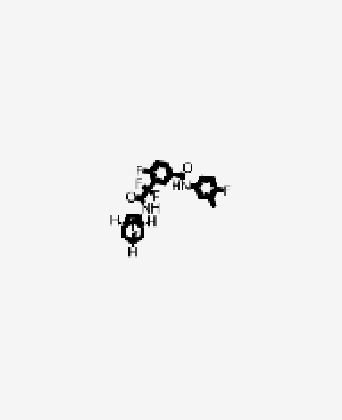 Cc1cc(NC(=O)c2ccc(F)c(C(F)(F)C(=O)N[C@]34C[C@@H]5C[C@@H](C[C@H]3C5)C4)c2)ccc1F